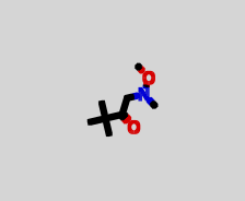 CON(C)CC(=O)C(C)(C)C